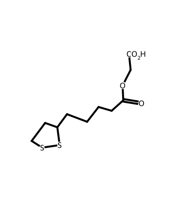 O=C(O)COC(=O)CCCCC1CCSS1